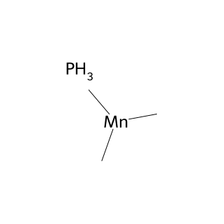 P.[CH3][Mn]([CH3])[CH3]